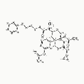 CC(=O)Oc1cccc(C23CCN(CC4CC4)CC2(OC(C)=O)CCC(N(C)C(=O)CCCCCc2ccccc2)C3)c1